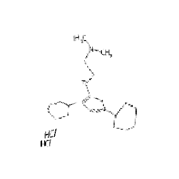 CN(C)C[CH2][Ti][C]1=C(C2CCCCC2)C=C(C2CCCCC2)C1.Cl.Cl